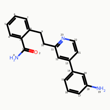 NC(=O)c1ccccc1C[CH]c1cc(-c2cccc(N)c2)ccn1